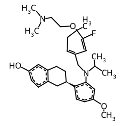 COc1ccc([C@@H]2CCc3cc(O)ccc3C2)c(N(CC2=CCC(C)(OCCN(C)C)C(F)=C2)C(C)C)c1